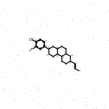 C/C=C/C1CCC2C(CCC3CC(c4ccc(Cl)c(F)c4)CCC32)C1